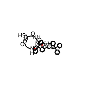 O=C1CC(CS)OOC(=O)CCCNC(=O)C(C(c2ccccc2)(c2ccccc2)c2cccc(C(S)=CCCC(c3ccccc3)(c3ccccc3)c3ccccc3)c2O[SiH3])NC(=O)CN1